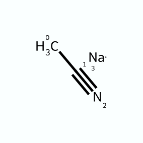 CC#N.[Na]